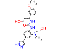 COc1cccc(C(CCO)NC(=O)Nc2ccc(-c3cn[nH]c3)cc2N(C)CCO)c1